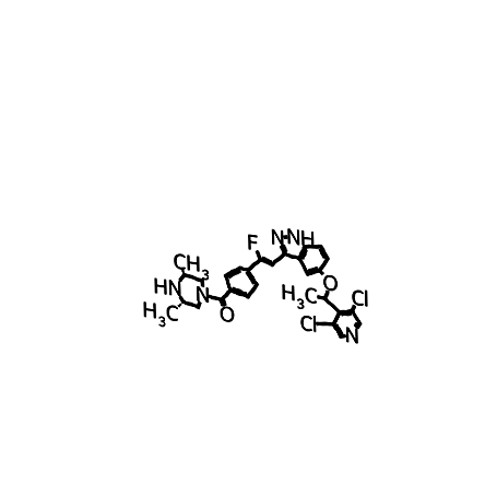 CC(Oc1ccc2[nH]nc(/C=C(\F)c3ccc(C(=O)N4C[C@@H](C)N[C@@H](C)C4)cc3)c2c1)c1c(Cl)cncc1Cl